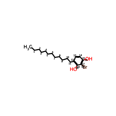 CCCCCCCCCCCCc1ccc(O)c(Br)c1O